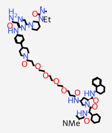 CCN(C(=O)N(C)C)[C@@H]1CCCN(c2cnc(C(N)=O)c(Nc3ccc(C4CCN(C(=O)CCOCCOCCOCCOCCC(=O)N[C@H]5C[C@@H](C(=O)N[C@@H]6CCCc7ccccc76)N(C(=O)[C@@H](NC(=O)[C@H](C)NC)C6CCCCC6)C5)CC4)cc3)n2)C1